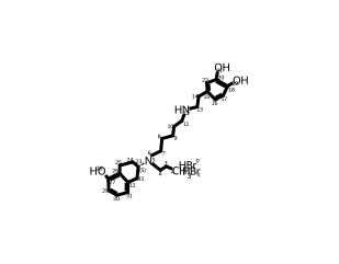 Br.Br.CCCN(CCCCCCNCCc1ccc(O)c(O)c1)[C@H]1CCc2c(O)cccc2C1